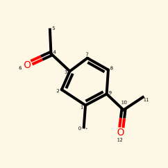 [CH2]c1cc(C(C)=O)ccc1C(C)=O